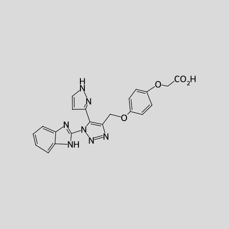 O=C(O)COc1ccc(OCc2nnn(-c3nc4ccccc4[nH]3)c2-c2cc[nH]n2)cc1